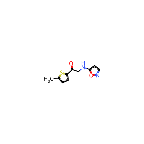 Cc1ccc(C(=O)CNc2ccno2)s1